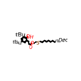 CCCCCCCCCCCCCCCCCCSCCOC(=O)CCc1cc(C(C)(C)C)cc(C(C)(C)C)c1O